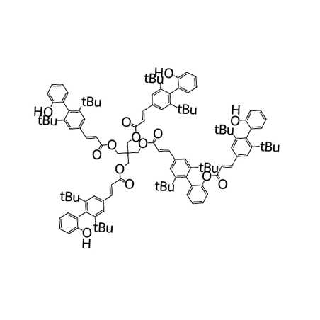 CC(C)(C)c1cc(/C=C/C(=O)OCC(COC(=O)/C=C/c2cc(C(C)(C)C)c(-c3ccccc3O)c(C(C)(C)C)c2)(COC(=O)/C=C/c2cc(C(C)(C)C)c(-c3ccccc3O)c(C(C)(C)C)c2)COC(=O)/C=C/c2cc(C(C)(C)C)c(-c3ccccc3OC(=O)/C=C/c3cc(C(C)(C)C)c(-c4ccccc4O)c(C(C)(C)C)c3)c(C(C)(C)C)c2)cc(C(C)(C)C)c1-c1ccccc1O